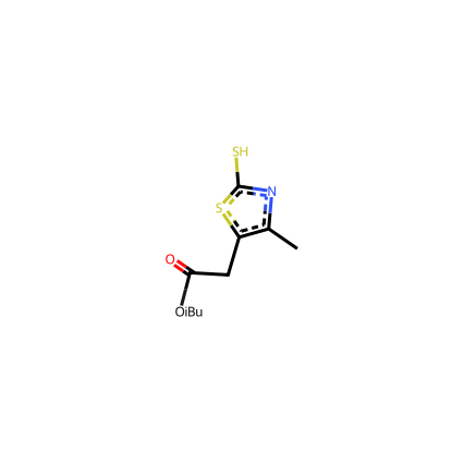 Cc1nc(S)sc1CC(=O)OCC(C)C